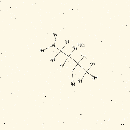 Cl.[2H]CC([2H])(C([2H])([2H])[2H])C([2H])([2H])C([2H])([2H])N([2H])[2H]